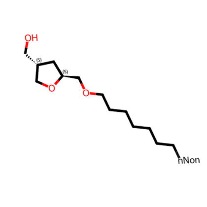 CCCCCCCCCCCCCCCCOC[C@@H]1C[C@@H](CO)CO1